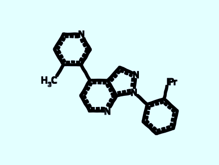 Cc1ccncc1-c1ccnc2c1cnn2-c1ccccc1C(C)C